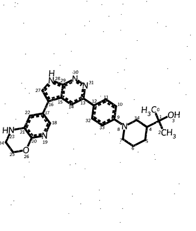 CC(C)(O)C1CCCN(c2ccc(-c3cc4c(-c5cnc6c(c5)NCCO6)c[nH]c4nn3)cc2)C1